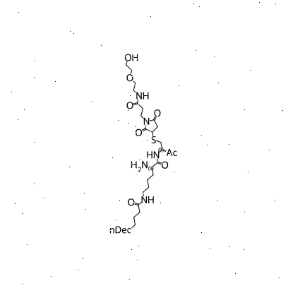 CCCCCCCCCCCCCC(=O)NCCCC[C@H](N)C(=O)N[C@@H](CSC1CC(=O)N(CCC(=O)NCCOCCO)C1=O)C(C)=O